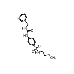 CCCCNS(=O)(=O)c1ccc(NC(=O)NCc2cccnc2)cc1